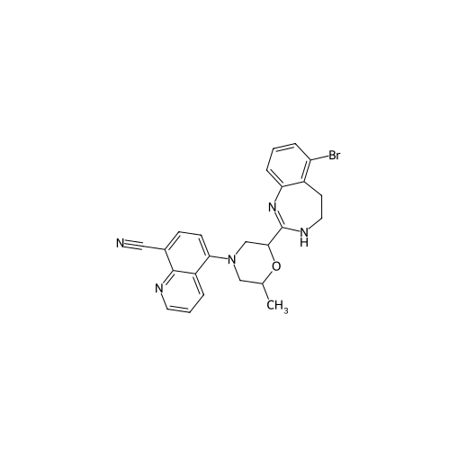 CC1CN(c2ccc(C#N)c3ncccc23)CC(C2=Nc3cccc(Br)c3CCN2)O1